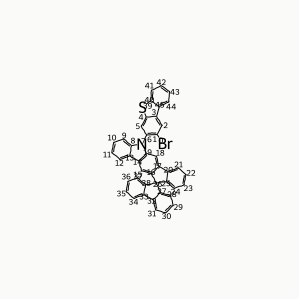 Brc1cc2c(cc1-n1c3ccccc3c3cc4c(cc31)-c1ccccc1C41c3ccccc3-c3ccccc31)sc1ccccc12